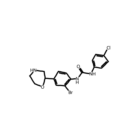 O=C(Nc1ccc(Cl)cc1)Nc1ccc(C2CNCCO2)cc1Br